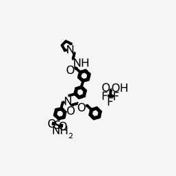 NS(=O)(=O)c1ccc(CN(Cc2cccc(-c3cccc(C(=O)NCCN4CCCC4)c3)c2)C(=O)COCc2ccccc2)cc1.O=C(O)C(F)(F)F